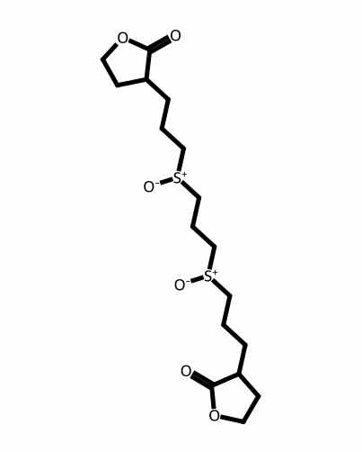 O=C1OCCC1CCC[S+]([O-])CCC[S+]([O-])CCCC1CCOC1=O